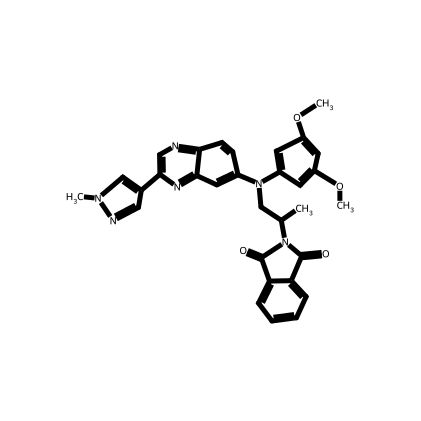 COc1cc(OC)cc(N(CC(C)N2C(=O)c3ccccc3C2=O)c2ccc3ncc(-c4cnn(C)c4)nc3c2)c1